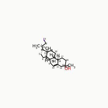 C[C@H](CI)[C@H]1CC[C@H]2[C@@H]3CC=C4C[C@@](C)(O)CC[C@@H]4[C@H]3CC[C@]12C